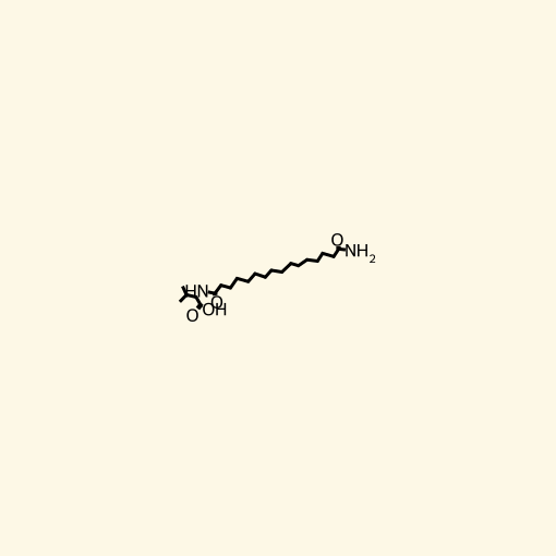 CC(C)[C@H](NC(=O)CCCCCCCCCCCCCCC(N)=O)C(=O)O